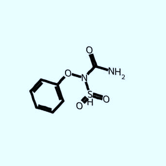 NC(=O)N(Oc1ccccc1)[SH](=O)=O